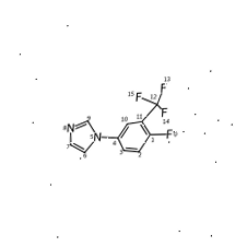 Fc1ccc(-n2ccnc2)cc1C(F)(F)F